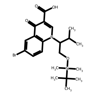 CC(C)C(CO[Si](C)(C)C(C)(C)C)n1cc(C(=O)O)c(=O)c2cc(Br)ccc21